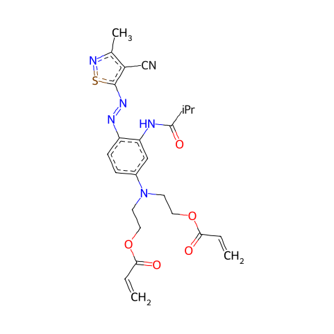 C=CC(=O)OCCN(CCOC(=O)C=C)c1ccc(N=Nc2snc(C)c2C#N)c(NC(=O)C(C)C)c1